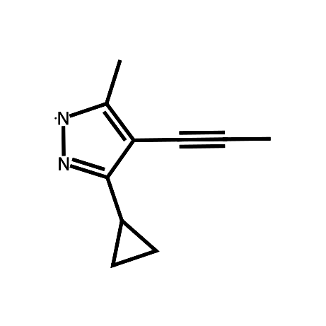 CC#CC1=C(C)[N]N=C1C1CC1